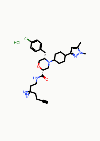 C#CCCC1(CCNC(=O)[C@H]2CN(C3CCC(c4cc(C)n(C)n4)CC3)[C@@H](Cc3ccc(Cl)cc3)CO2)N=N1.Cl